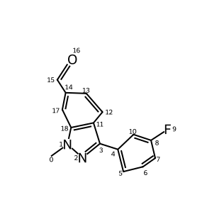 Cn1nc(-c2cccc(F)c2)c2ccc(C=O)cc21